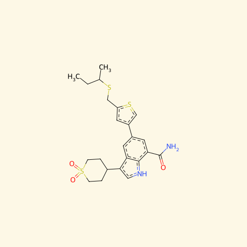 CCC(C)SCc1cc(-c2cc(C(N)=O)c3[nH]cc(C4CCS(=O)(=O)CC4)c3c2)cs1